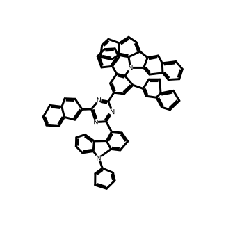 c1ccc(-c2cc(-c3nc(-c4ccc5ccccc5c4)nc(-c4cccc5c4c4ccccc4n5-c4ccccc4)n3)cc(-c3ccc4ccccc4c3)c2-n2c3cc4ccccc4cc3c3ccc4ccccc4c32)cc1